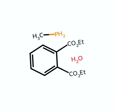 CCOC(=O)c1ccccc1C(=O)OCC.CP.O